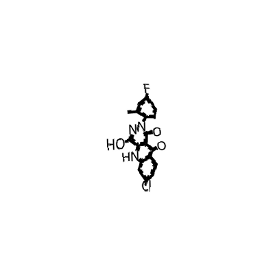 Cc1cc(F)ccc1-n1nc(O)c2[nH]c3cc(Cl)ccc3c(=O)c2c1=O